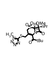 CCC[C@@]1(OC)C(=O)N2C(C(=O)C(C)(C)C)=C(CSc3nnnn3C)CS(=O)(=O)[C@@H]21